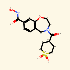 O=C(NO)c1ccc2c(c1)OCCN(C(=O)C1CCS(=O)(=O)CC1)C2